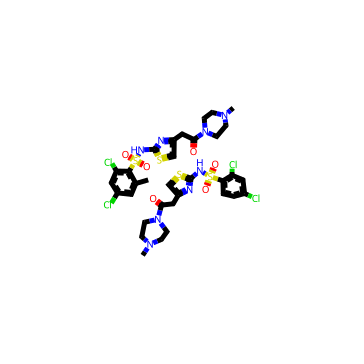 CN1CCN(C(=O)Cc2csc(NS(=O)(=O)c3ccc(Cl)cc3Cl)n2)CC1.Cc1cc(Cl)cc(Cl)c1S(=O)(=O)Nc1nc(CC(=O)N2CCN(C)CC2)cs1